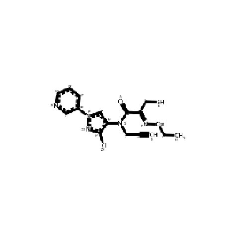 C#CCN(C(=O)C(CS)=NOCC)c1cn(-c2cccnc2)nc1Cl